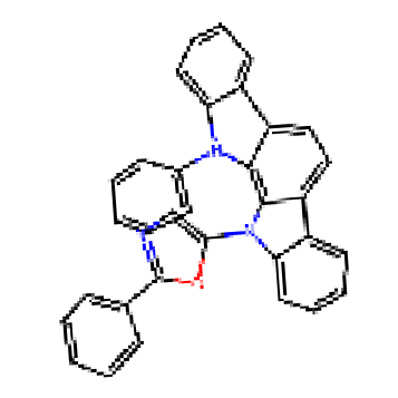 c1ccc(-c2ncc(-n3c4ccccc4c4ccc5c6ccccc6n(-c6ccccc6)c5c43)o2)cc1